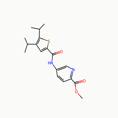 COC(=O)c1ccc(NC(=O)c2cc(C(C)C)c(C(C)C)s2)cn1